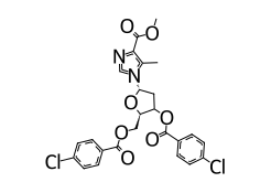 COC(=O)c1ncn([C@@H]2CC(OC(=O)c3ccc(Cl)cc3)[C@@H](COC(=O)c3ccc(Cl)cc3)O2)c1C